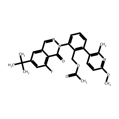 COc1ccc(-c2cccc(-n3ncc4cc(C(C)(C)C)cc(F)c4c3=O)c2COC(C)=O)c(C)n1